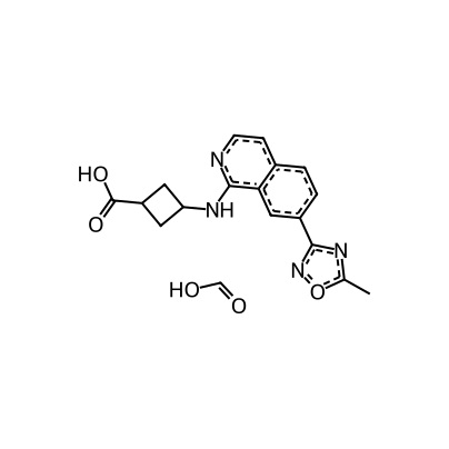 Cc1nc(-c2ccc3ccnc(NC4CC(C(=O)O)C4)c3c2)no1.O=CO